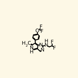 C=C1NC=c2cnc(NCC(F)F)nc2=C1c1ccc(OC(F)F)cc1